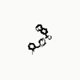 O=C(c1ccc2cccnc2c1)N1CCN(Cc2ccccc2F)CC1